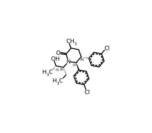 CC[C@H]([C@H](C)O)N1C(=O)[C](C)C[C@H](c2cccc(Cl)c2)[C@H]1c1ccc(Cl)cc1